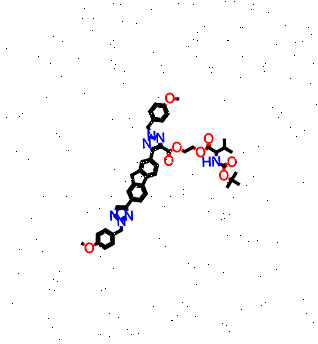 COc1ccc(Cn2ncc(-c3ccc4c(c3)Cc3cc(-c5nn(Cc6ccc(OC)cc6)nc5C(=O)OCCOC(=O)C(NC(=O)OC(C)(C)C)C(C)C)ccc3-4)n2)cc1